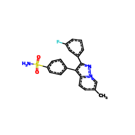 Cc1ccc2c(-c3ccc(S(N)(=O)=O)cc3)c(-c3cccc(F)c3)nn2c1